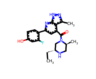 CC[C@@H]1CN(C(=O)c2cc(-c3ccc(O)cc3F)nc3[nH]nc(C)c23)[C@@H](C)CN1